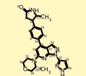 CC1NC(=O)CC1c1ccc(-c2cc(N3CCOC[C@H]3C)nc3c2cnn3-c2cc[nH]n2)cc1